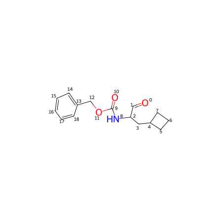 O=CC(CC1CCC1)NC(=O)OCc1ccccc1